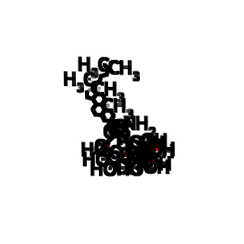 CC(C)CCC[C@@H](C)[C@H]1CCC2C3CCC4=CC(OOC5CC(=O)[C@]6(CO)O[C@@H](OC(O[C@@H]7O[C@H](CO)[C@H](O)[C@H](O)[C@H]7O)(O[C@@H]7O[C@H](CO)[C@H](O)[C@H](O)[C@H]7O)CN(CC(N)=O)C5=O)[C@H](O)[C@@H](O)[C@H]6O)CC[C@]4(C)C3CC[C@@]21C